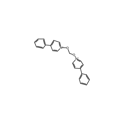 c1ccc(-c2cc[n+](OCO[n+]3ccc(-c4ccccc4)cc3)cc2)cc1